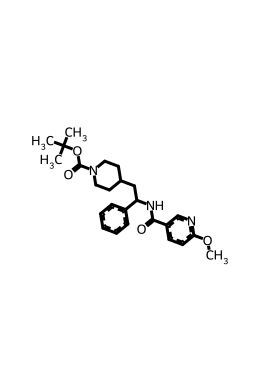 COc1ccc(C(=O)NC(CC2CCN(C(=O)OC(C)(C)C)CC2)c2ccccc2)cn1